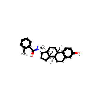 Cc1ccccc1C(=O)N[C@H]1CC[C@H]2[C@@H]3CCc4cc(O)ccc4[C@H]3CC[C@]12C